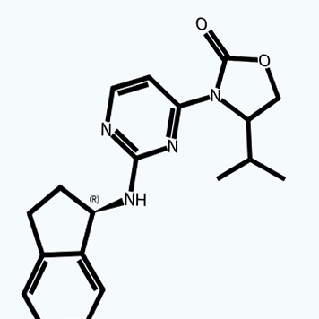 CC(C)C1COC(=O)N1c1ccnc(N[C@@H]2CCc3ccccc32)n1